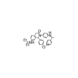 CCC(CC)Nc1ccc2c(c1)C(c1ccc(Cl)cc1)N(c1ccc(NC(C)c3ccncc3)cc1)C(=O)C2